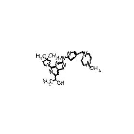 CC(O)c1cc2cnc(Nc3ccc(CN4CCN(C)CC4)cn3)nc2c(N2CCC(C)(C)C2)n1